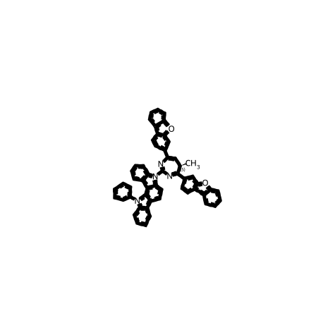 C[C@H]1C=C(c2ccc3c(c2)oc2ccccc23)N=C(n2c3ccccc3c3c2ccc2c4ccccc4n(-c4ccccc4)c23)N=C1c1ccc2c(c1)oc1ccccc12